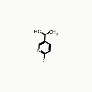 C[C@H](O)c1ccc(Cl)nc1